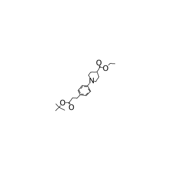 CCOC(=O)C1CCN(c2ccc(CCC(=O)OC(C)(C)C)cc2)CC1